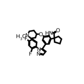 CN1CCC(Oc2cc(-c3ccnn3-c3ccc(F)cc3F)cc3c2NC(=O)C32CCCC2)CC1